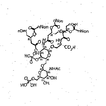 CCCCCCCCCCC[C@H](CC(=O)N[C@H]1[C@H](OC[C@H](NC(=O)C[C@@H](CCCCCCCCCCC)OC(=O)CCCCCCCCC)C(=O)O)O[C@H](CO[C@@H]2O[C@H](COP(=O)(O)O)[C@@H](O)[C@H](O)[C@H]2NC(C)=O)[C@@H](OP(=O)(O)O)[C@@H]1OC(=O)C[C@@H](CCCCCCCCCCC)OC(=O)CCCCCCCCC)OC(=O)CCCCCCCCC